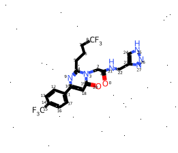 O=C(Cn1c(CCCC(F)(F)F)nc(-c2ccc(C(F)(F)F)cc2)cc1=O)NCc1c[nH]nn1